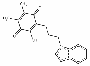 CC1=C(C)C(=O)C(CCCn2ccc3ccccc32)=C(C)C1=O